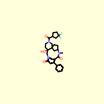 CN1C(=O)c2cn(c(=O)cc2-c2ccccc2)CC2(O)CCN(C(=O)C3CCC(F)(F)C3)CC23CCC1C3